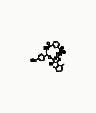 CCc1c2nc(nc1-c1c(C)cccc1C)NS(=O)(=O)c1cccc(c1)C(=O)NCC(c1ccc(C(C)(C)C)cc1)O2